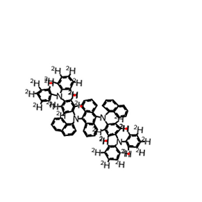 [2H]c1c([2H])c([2H])c(N(c2c([2H])c([2H])c([2H])c([2H])c2[2H])c2c([2H])c([2H])c(N(c3cccc4ccccc34)c3c4ccccc4c(N(c4c([2H])c([2H])c(N(c5c([2H])c([2H])c([2H])c([2H])c5[2H])c5c([2H])c([2H])c([2H])c([2H])c5[2H])c([2H])c4[2H])c4cccc5ccccc45)c4ccccc34)c([2H])c2[2H])c([2H])c1[2H]